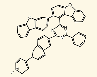 C[C@@H]1C=CC(C2C=Cc3cc(-c4nc(-c5ccccc5)nc(-c5c(-c6ccc7c(c6)oc6ccccc67)ccc6oc7ccccc7c56)n4)ccc3C2)=CC1